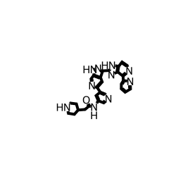 O=C(CC1CCNCC1)Nc1cncc(-c2cc3c(-c4nc5c(-c6ccccn6)nccc5[nH]4)n[nH]c3cn2)c1